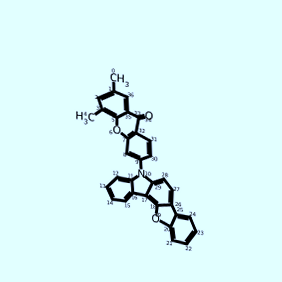 Cc1cc(C)c2oc3cc(-n4c5ccccc5c5c6oc7ccccc7c6ccc54)ccc3c(=O)c2c1